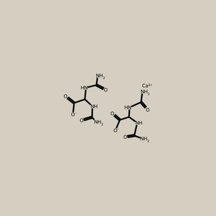 NC(=O)NC(NC(N)=O)C(=O)[O-].NC(=O)NC(NC(N)=O)C(=O)[O-].[Ca+2]